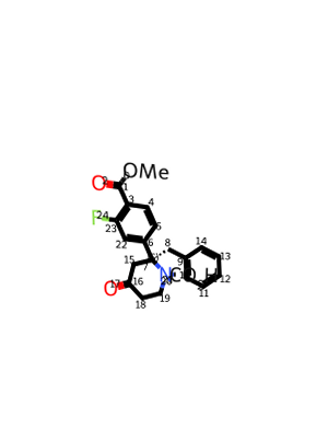 COC(=O)c1ccc([C@]2(Cc3ccccc3)CC(=O)CCN2C(=O)O)cc1F